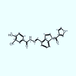 O=C(N/N=C/c1cccc2c1ccn2C(=O)c1ccoc1)c1ccc(O)c(Cl)c1